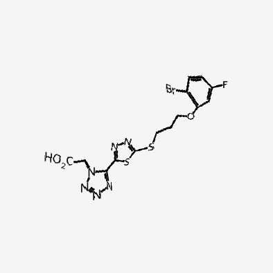 O=C(O)Cn1nnnc1-c1nnc(SCCCOc2cc(F)ccc2Br)s1